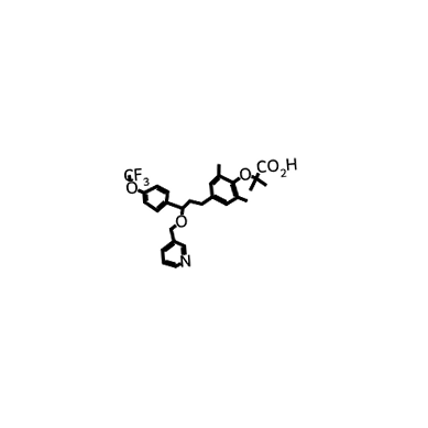 Cc1cc(CCC(OCc2cccnc2)c2ccc(OC(F)(F)F)cc2)cc(C)c1OC(C)(C)C(=O)O